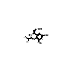 C/C(=C/C=O)c1cc(C(C)(C)C)cc(C(C)(C)C)c1OCC(F)F